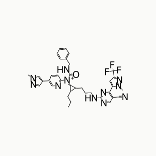 CCCC1/C(=[N+](/C(=O)NCc2ccccc2)c2ccc(-c3cnn(C)c3)cn2)C1CCCNc1ncc(C#N)c(-c2cc(C(F)(F)F)nn2C)n1